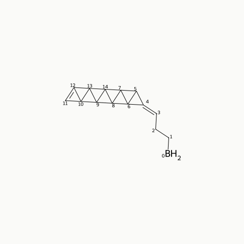 BCC/C=C1/C2C13C21C32C34C56C=C5C63C142